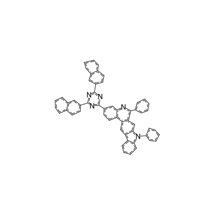 c1ccc(-c2nc3cc(-c4nc(-c5ccc6ccccc6c5)nc(-c5ccc6ccccc6c5)n4)ccc3c3cc4c5ccccc5n(-c5ccccc5)c4cc23)cc1